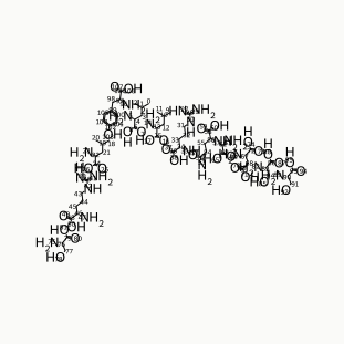 CC(C)C[C@H](N)C(=O)O.CC(C)C[C@H](N)C(=O)O.CC(C)C[C@H](N)C(=O)O.N=C(N)NCCC[C@H](N)C(=O)O.N=C(N)NCCC[C@H](N)C(=O)O.NC(=O)CC[C@H](N)C(=O)O.NCC(=O)O.N[C@@H](CC(=O)O)C(=O)O.N[C@@H](CO)C(=O)O.N[C@@H](CO)C(=O)O.N[C@@H](CO)C(=O)O.N[C@@H](Cc1ccc(O)cc1)C(=O)O